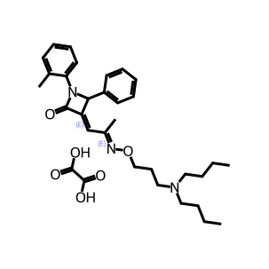 CCCCN(CCCC)CCCO/N=C(C)/C=C1/C(=O)N(c2ccccc2C)C1c1ccccc1.O=C(O)C(=O)O